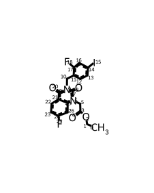 CCOC(=O)Cn1c(=O)n(Cc2ccc(I)cc2F)c(=O)c2ccc(F)cc21